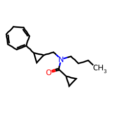 CCCCN(CC1CC1C1=CC=CCC=C1)C(=O)C1CC1